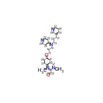 CN1Cc2cc(OCCCN(CCCc3cccnc3)c3ccncc3)ccc2N(C)C1C=O